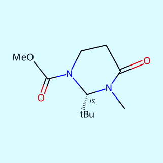 COC(=O)N1CCC(=O)N(C)[C@@H]1C(C)(C)C